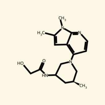 Cc1cc2c(N3CC(NC(=O)CO)C[C@H](C)C3)ccnc2n1C